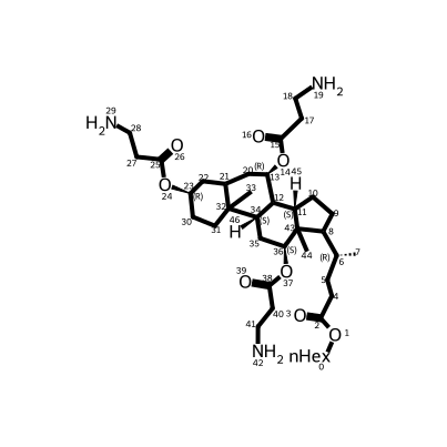 CCCCCCOC(=O)CC[C@@H](C)C1CC[C@H]2C3[C@H](OC(=O)CCN)CC4C[C@H](OC(=O)CCN)CCC4(C)[C@H]3C[C@H](OC(=O)CCN)C12C